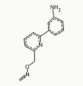 C=NOCc1cccc(-c2cccc(N)c2)n1